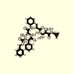 CCC[C@H](NC(=O)CC[C@@H]1CCCC[C@@H]1NC(=O)[C@@H](NC(=O)[C@@H](NC(=O)OCc1ccccc1)C1CCCCC1)C(C)(C)C)C(O)C(=O)NC1CC1